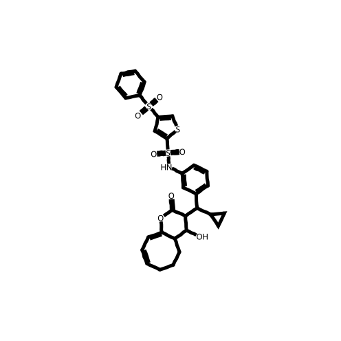 O=C1OC2=CC=CCCCC2C(O)C1C(c1cccc(NS(=O)(=O)c2cc(S(=O)(=O)c3ccccc3)cs2)c1)C1CC1